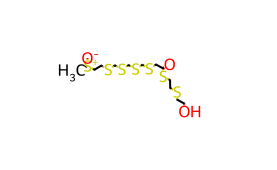 C[S+]([O-])CCSCSCSCSCC(=O)SCCSCCO